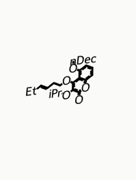 CC/C=C/CCOc1c(OC(C)C)c(=O)oc2cccc(OCCCCCCCCCC)c12